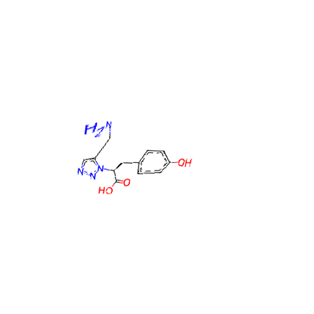 NCc1cnnn1[C@@H](Cc1ccc(O)cc1)C(=O)O